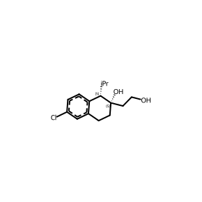 CC(C)[C@H]1c2ccc(Cl)cc2CC[C@]1(O)CCO